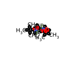 Cc1ccc([Si](c2ccc(C)cc2)(c2ccc(C)cc2)c2cccc(-c3cccc(F)c3N(c3cc4c(C(C)C)ccc5c(N(c6c(F)cccc6-c6cccc([Si](c7ccc(C)cc7)(c7ccc(C)cc7)c7ccc(C)cc7)c6)c6cccc7c6oc6ccccc67)cc6c(C(C)C)ccc3c6c45)c3cccc4c3oc3ccccc34)c2)cc1